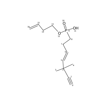 C#CC(C)(C)C=CCCP(=O)(O)OCCC=C